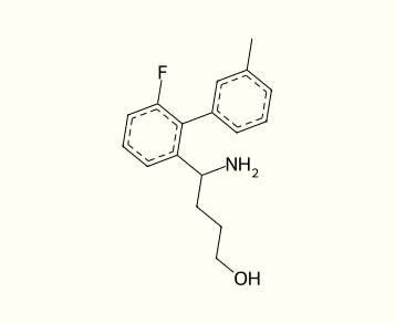 Cc1cccc(-c2c(F)cccc2C(N)CCCO)c1